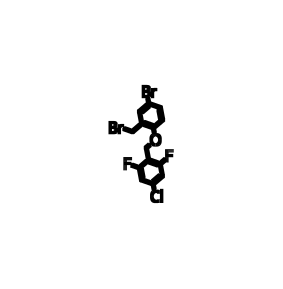 Fc1cc(Cl)cc(F)c1COc1ccc(Br)cc1CBr